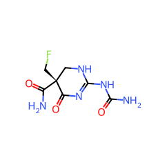 NC(=O)NC1=NC(=O)[C@](CF)(C(N)=O)CN1